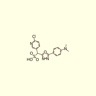 CN(C)c1ccc(-c2nnc(C(c3ccc(Cl)nc3)S(=O)(=O)O)o2)cc1